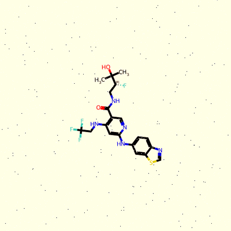 CC(C)(O)[C@H](F)CNC(=O)c1cnc(Nc2ccc3ncsc3c2)cc1NCC(F)(F)F